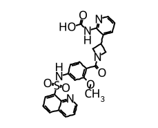 COc1cc(NS(=O)(=O)c2cccc3cccnc23)ccc1C(=O)N1CC(c2cccnc2NC(=O)O)C1